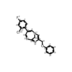 Fc1ccc(C2=CN3C=C(COc4ccccc4)N=C(C3)N=C2)c(Cl)c1